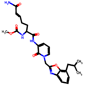 COC(=O)NC(CCC=CC(N)=O)C(=O)Nc1cccn(Cc2nc3cccc(CC(C)C)c3o2)c1=O